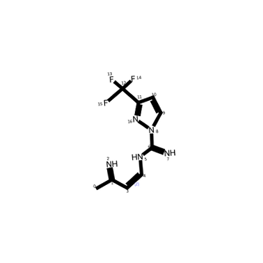 CC(=N)/C=C\NC(=N)n1ccc(C(F)(F)F)n1